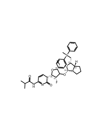 CC[C@H]1O[C@@H](n2ccc(NC(=O)C(C)C)nc2=O)[C@@H](F)C1O[P@]1O[C@H](C[Si](C)(c2ccccc2)c2ccccc2)[C@@H]2CCCN21